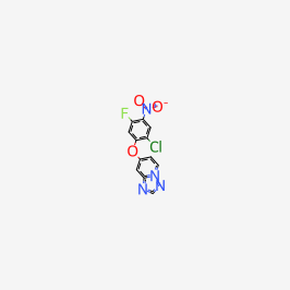 O=[N+]([O-])c1cc(Cl)c(Oc2ccn3ncnc3c2)cc1F